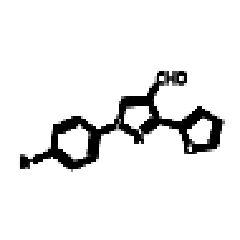 O=Cc1cn(-c2ccc(Br)cc2)nc1-c1ccco1